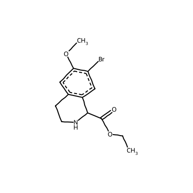 CCOC(=O)C1NCCc2cc(OC)c(Br)cc21